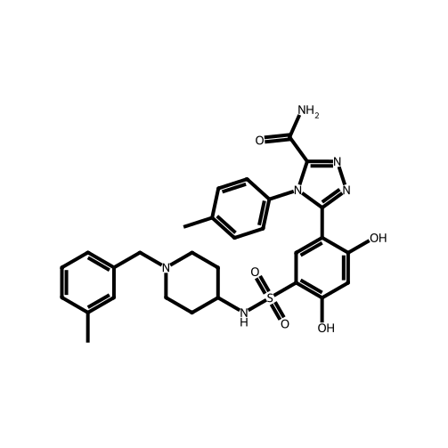 Cc1ccc(-n2c(C(N)=O)nnc2-c2cc(S(=O)(=O)NC3CCN(Cc4cccc(C)c4)CC3)c(O)cc2O)cc1